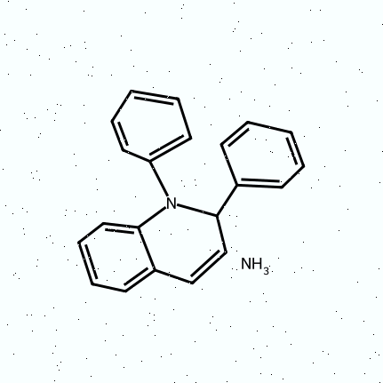 C1=CC(c2ccccc2)N(c2ccccc2)c2ccccc21.N